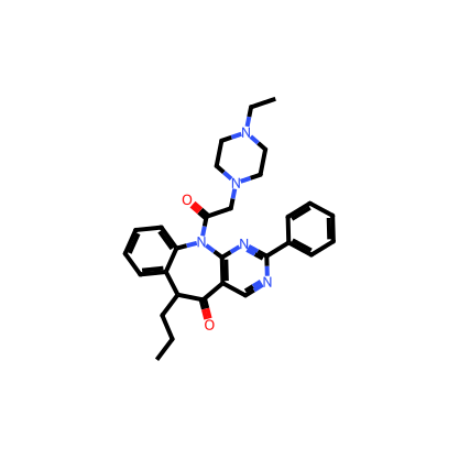 CCCC1C(=O)c2cnc(-c3ccccc3)nc2N(C(=O)CN2CCN(CC)CC2)c2ccccc21